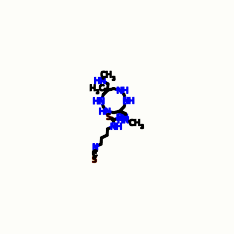 CNCC1(C)CNCNCC(CNC)(NC(=S)NCCCCN=C=S)CNCNC1